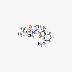 C/C(=N\[S@+]([O-])C(C)(C)C)c1sc2c(C)cccc2c1F